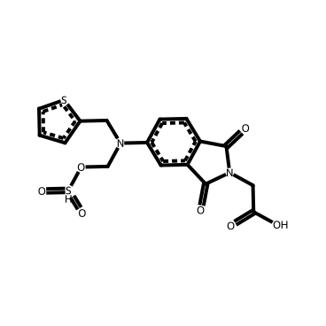 O=C(O)CN1C(=O)c2ccc(N(CO[SH](=O)=O)Cc3cccs3)cc2C1=O